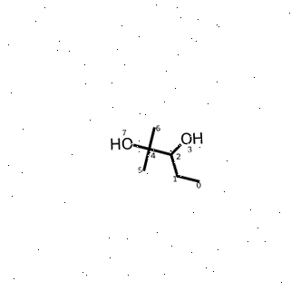 CC[C](O)C(C)(C)O